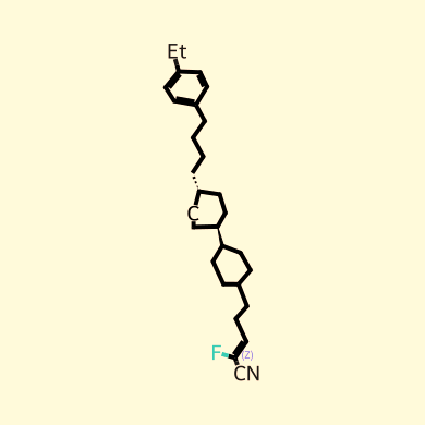 CCc1ccc(CCCC[C@H]2CC[C@H](C3CCC(CC/C=C(\F)C#N)CC3)CC2)cc1